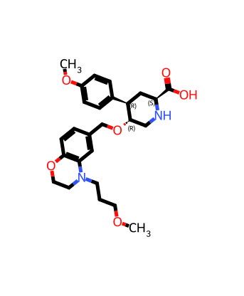 COCCCN1CCOc2ccc(CO[C@H]3CN[C@H](C(=O)O)C[C@@H]3c3ccc(OC)cc3)cc21